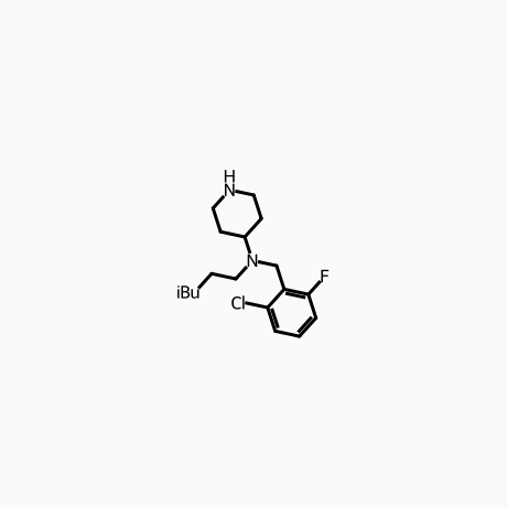 CCC(C)CCN(Cc1c(F)cccc1Cl)C1CCNCC1